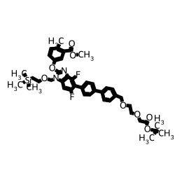 COC(=O)c1cc(Oc2nc3c(F)c(-c4ccc(-c5ccc(COCCOCC(=O)OC(C)(C)C)cc5)cc4)c(F)cc3n2COCC[Si](C)(C)C)ccc1C